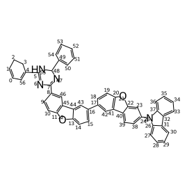 C1=CCCC(C2=NC(c3ccc4oc5ccc(-c6ccc7oc8cc(-n9c%10ccccc%10c%10ccccc%109)ccc8c7c6)cc5c4c3)=NC(c3ccccc3)N2)=C1